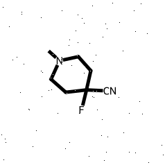 CN1CCC(F)(C#N)CC1